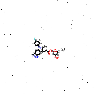 CC(C)c1c(CCC(=O)O[C@H]2C[C@@H](O)C[C@@H](C(=O)O)O2)c2cc3[nH]ncc3cc2n1-c1ccc(F)cc1